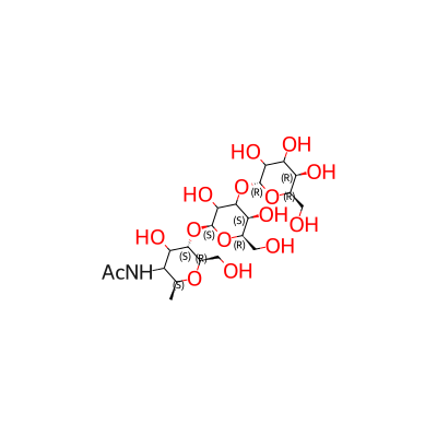 CC(=O)NC1C(O)[C@H](O[C@@H]2O[C@H](CO)[C@H](O)C(O[C@H]3O[C@H](CO)[C@H](O)C(O)C3O)C2O)[C@@H](CO)O[C@H]1C